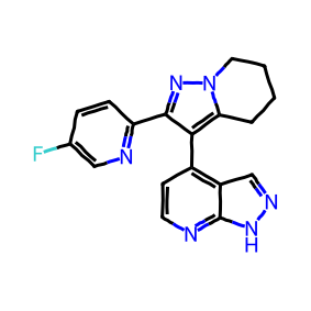 Fc1ccc(-c2nn3c(c2-c2ccnc4[nH]ncc24)CCCC3)nc1